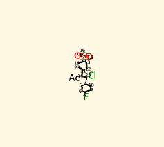 CC(=O)/C(=C(/Cl)c1ccc(F)cc1)c1ccc(S(C)(=O)=O)cc1